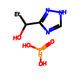 CCC(O)c1nc[nH]n1.O=[PH](O)O